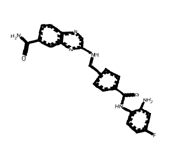 NC(=O)c1ccc2ncc(NCc3ccc(C(=O)Nc4ccc(F)cc4N)cc3)nc2c1